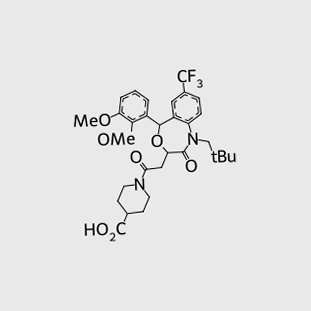 COc1cccc(C2OC(CC(=O)N3CCC(C(=O)O)CC3)C(=O)N(CC(C)(C)C)c3ccc(C(F)(F)F)cc32)c1OC